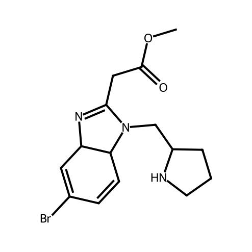 COC(=O)CC1=NC2C=C(Br)C=CC2N1CC1CCCN1